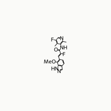 COc1c(/C=C(\F)C(=O)Nc2c(C)ncc(F)c2C)ccc2cn[nH]c12